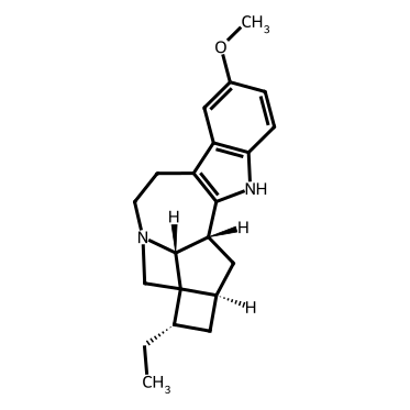 CC[C@H]1C[C@@H]2C[C@H]3c4[nH]c5ccc(OC)cc5c4CCN4CC21[C@@H]34